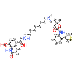 CN(CCCCCCCCCNC[C@@H](O)c1ccc(O)c2[nH]c(=O)ccc12)CCC(C)(C)OC(=O)Nc1ccccc1-c1ccsc1